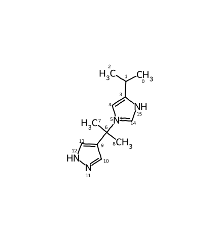 CC(C)c1c[n+](C(C)(C)c2cn[nH]c2)c[nH]1